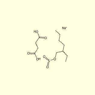 CCCCC(CC)CO[S-](=O)=O.O=C(O)CCC(=O)O.[Na+]